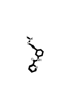 O=C(NC1CCCC(C#CSP(I)I)C1)c1ccccn1